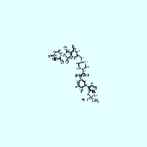 CC1(C)Cc2c(-c3cc(NC(=O)C4CCN(Cc5cc(F)c6c(c5)C(=O)N(C5CCC(=O)NC5=O)C6=O)CC4)ncc3Cl)cnn2C1